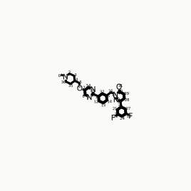 CN1CCC(COc2cnc(-c3cccc(Cn4nc(-c5cc(F)cc(F)c5)ccc4=O)c3)nc2)CC1